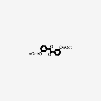 CCCCCCCCOc1cccc(C(=O)C(=O)c2cccc(OCCCCCCCC)c2)c1